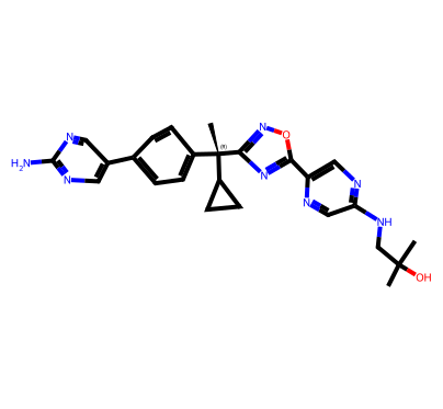 CC(C)(O)CNc1cnc(-c2nc([C@@](C)(c3ccc(-c4cnc(N)nc4)cc3)C3CC3)no2)cn1